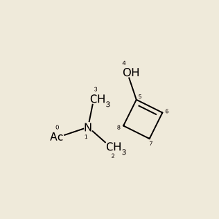 CC(=O)N(C)C.OC1=CCC1